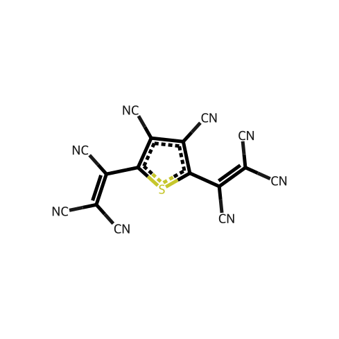 N#CC(C#N)=C(C#N)c1sc(C(C#N)=C(C#N)C#N)c(C#N)c1C#N